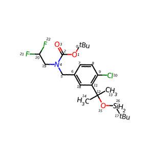 CC(C)(C)OC(=O)N(Cc1ccc(Cl)c(C(C)(C)O[SiH2]C(C)(C)C)c1)CC(F)F